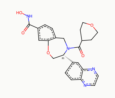 O=C(NO)c1ccc2c(c1)OC[C@@H](c1ccc3nccnc3c1)N(C(=O)C1CCOCC1)C2